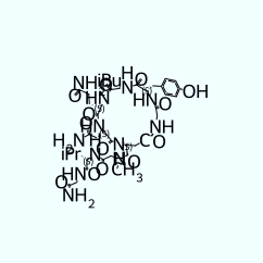 CCC(C)C1NC(=O)[C@H](Cc2ccc(O)cc2)NC(=O)CNC(=O)CC[C@@H](C(=O)N(C)CC(=O)N[C@H](C(=O)NCC(N)=O)C(C)C)NC(=O)[C@H](CC(N)=O)NC(=O)[C@H](CCC(N)=O)NC1=O